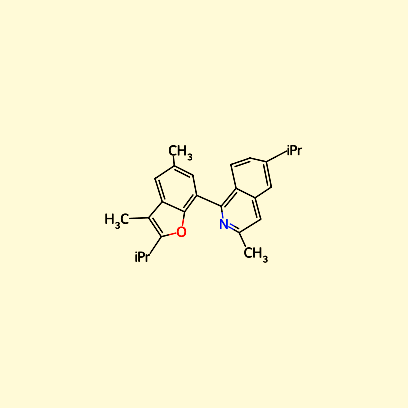 Cc1cc(-c2nc(C)cc3cc(C(C)C)ccc23)c2oc(C(C)C)c(C)c2c1